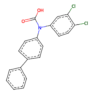 O=C(O)N(c1ccc(-c2ccccc2)cc1)c1ccc(Cl)c(Cl)c1